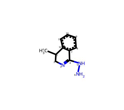 CC1CN=C(NN)c2ccccc21